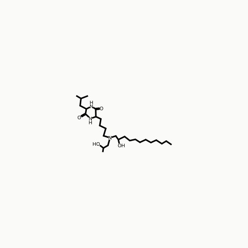 CCCCCCCCCCC(O)CN(CCCCC1NC(=O)C(CC(C)C)NC1=O)CC(C)O